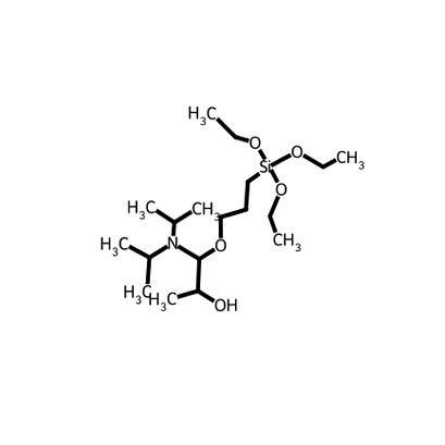 CCO[Si](CCCOC(C(C)O)N(C(C)C)C(C)C)(OCC)OCC